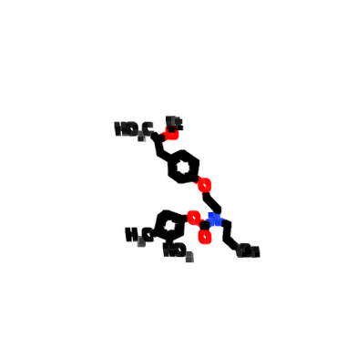 CCOC(Cc1ccc(OCCN(CCC(C)(C)C)C(=O)Oc2ccc(C)c([N+](=O)[O-])c2)cc1)C(=O)O